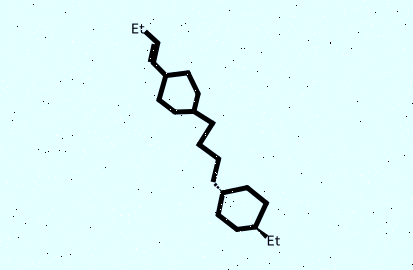 CCC=CC1CCC(CCCC[C@H]2CC[C@H](CC)CC2)CC1